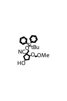 COCO[C@H]1C[C@@H](O)C[C@]1(C#N)CO[Si](c1ccccc1)(c1ccccc1)C(C)(C)C